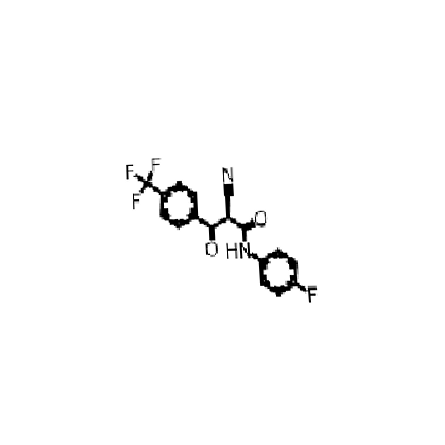 N#CC(C(=O)Nc1ccc(F)cc1)C(=O)c1ccc(C(F)(F)F)cc1